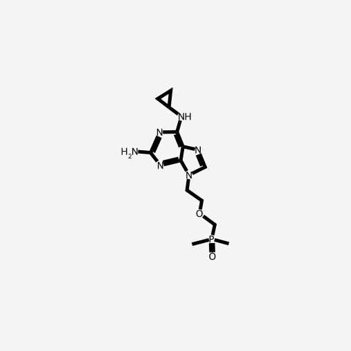 CP(C)(=O)COCCn1cnc2c(NC3CC3)nc(N)nc21